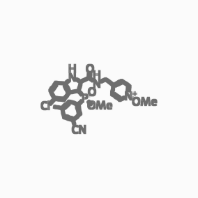 CO[n+]1ccc(CNC(=O)C2Nc3ccc(Cl)cc3C2P(=O)(OC)c2cc(C)cc(C#N)c2)cc1